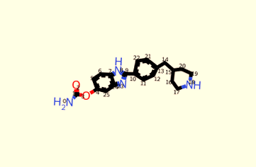 NC(=O)Oc1ccc2[nH]c(-c3ccc(CC4CCNCC4)cc3)nc2c1